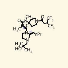 CCC/C=C1\CN(CC(C)(C)O)CCN1/C=C(\C)C(=O)N(C)C1(C)CCN(C(=O)CC(C(F)(F)F)C(F)(F)F)CC1